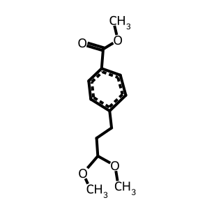 COC(=O)c1ccc(CCC(OC)OC)cc1